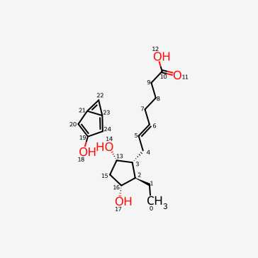 CC[C@@H]1[C@@H](CC=CCCCC(=O)O)[C@@H](O)C[C@H]1O.Oc1cc2cc-2c1